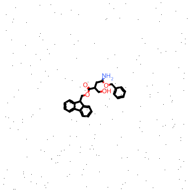 NC(CC(CO)C(=O)OCC1c2ccccc2-c2ccccc21)OCc1ccccc1